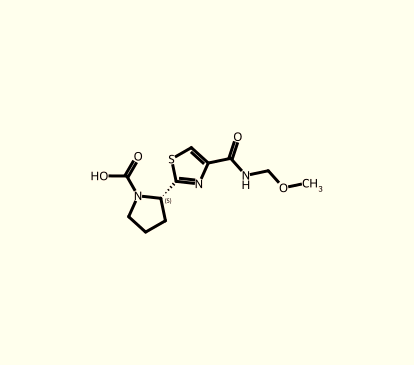 COCNC(=O)c1csc([C@@H]2CCCN2C(=O)O)n1